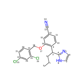 CCCC(c1ncc[nH]1)c1ccc(C#N)cc1OCc1ccc(Cl)cc1Cl